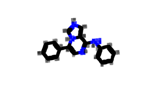 c1ccc(Nc2ncc(-c3ccccc3)n3cncc23)cc1